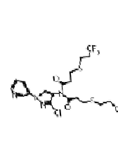 O=C(CCSCCC(F)(F)F)N(C(=O)CCSCCC(F)(F)F)c1cn(-c2cccnc2)nc1Cl